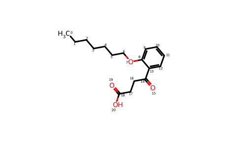 CCCCCCCOc1ccccc1C(=O)CCC(=O)O